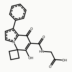 O=C(O)CNC(=O)C1=C(O)C2(CCC2)n2ccc(-c3ccccc3)c2C1=O